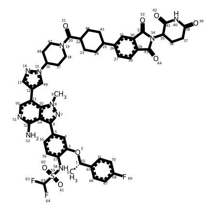 C[C@H](Oc1cc(-c2nn(C)c3c(-c4cnn(C5CCN(C(=O)C6CCC(c7ccc8c(c7)C(=O)N(C7CCC(=O)NC7=O)C8=O)CC6)CC5)c4)cnc(N)c23)ccc1NS(=O)(=O)C(F)F)c1ccc(F)cc1